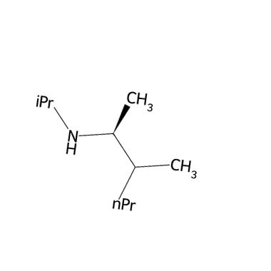 CCCC(C)[C@H](C)NC(C)C